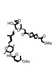 CSCC(=O)N1CC2(C1)CN(C(=O)C[C@@H]1C[C@@]3(CO3)[C@H](O)[C@@H](/C=C/C(C)=C/C[C@@H]3O[C@H](C)[C@H](NC(=O)/C=C\[C@H](C)OC(C)=O)C[C@@H]3C)O1)C2